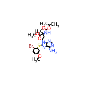 C=C(C)OC(=O)NC(C)(CCn1c(Sc2cc(OC)ccc2Br)nc2c(N)ncnc21)C(=O)OC